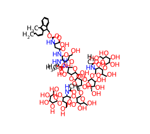 C=C/C=C\C1=C(C)c2ccccc2C1COC(=O)NC(CC(=O)N[C@@H]1OC(CO)[C@@H](O[C@@H]2OC(CO)[C@@H](O[C@@H]3OC(CO[C@H]4OC(CO)[C@@H](O)C(O)C4O[C@@H]4OC(CO)[C@@H](O[C@@H]5OC(CO)[C@H](O)C(O)C5O)C(O)C4NC(C)=O)[C@@H](O)C(O[C@H]4O[C@H](CO)[C@H](O)C(O)C4O[C@@H]4OC(CO)[C@@H](O[C@@H]5OC(CO)[C@H](O)C(O)C5O)C(O)C4NC(C)=O)C3O)C(O)C2NC(C)=O)C(O)C1NC(C)=O)C(=O)O